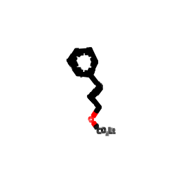 CCOC(=O)OC/C=C/c1ccccc1